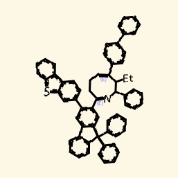 CCC1/C(c2ccc(-c3ccccc3)cc2)=C\CC/C(c2cc3c(cc2-c2ccc4c(c2)sc2ccccc24)-c2ccccc2C3(c2ccccc2)c2ccccc2)=N\C1c1ccccc1